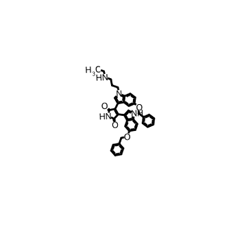 CCNCCCn1cc(C2=C(c3c[nH]c4ccc(OCc5ccccc5)cc34)C(=O)NC2=O)c2cc(OCc3ccccc3)ccc21